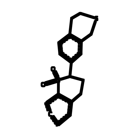 O=S1(=O)c2ccccc2CCC1c1ccc2c(c1)CSCC2